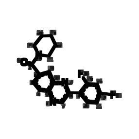 O=C(c1ccc2ncc(-c3ccc(F)cc3F)nc2c1)N1CCCCC1